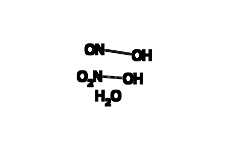 O.O=NO.O=[N+]([O-])O